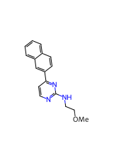 COCCNc1nccc(-c2ccc3ccccc3c2)n1